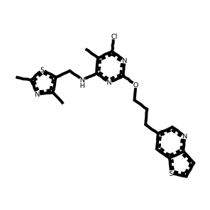 Cc1nc(C)c(CNc2nc(OCCCc3cnc4ccsc4c3)nc(Cl)c2C)s1